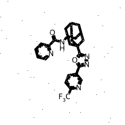 O=C(NC12CC3CC(C1)CC(c1nnc(-c4ccc(C(F)(F)F)nc4)o1)(C3)C2)c1ccccn1